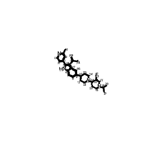 Cc1cc(-c2[nH]c3ccc(C4CCN(C5CCN(C(C)C)CC5F)CC4)cc3c2C(C)C)ccn1